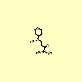 CCCN(CCC)C(=O)CCN(CCC)C1CC[N]CC1